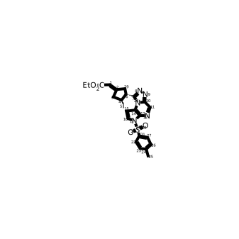 CCOC(=O)/C=C1\C[C@@H](I)[C@@H](c2nnc3cnc4c(ccn4S(=O)(=O)c4ccc(C)cc4)n23)C1